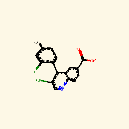 Cc1ccc(-c2c(Cl)cnc3ccc(C(=O)O)cc23)c(F)c1